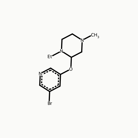 CCN1CCN(C)CC1Oc1cncc(Br)c1